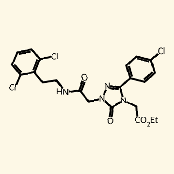 CCOC(=O)Cn1c(-c2ccc(Cl)cc2)nn(CC(=O)NCCc2c(Cl)cccc2Cl)c1=O